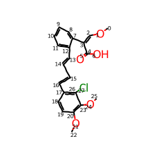 COC=C(C(=O)O)c1ccccc1C=CC=Cc1ccc(OC)c(OC)c1Cl